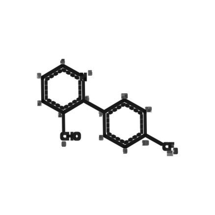 O=Cc1cccnc1-c1ccc(C(F)(F)F)cc1